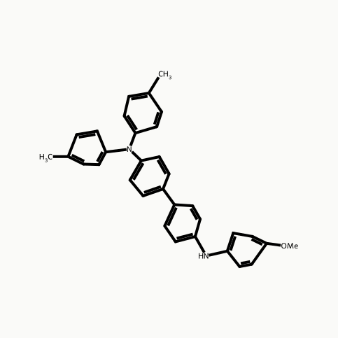 COc1ccc(Nc2ccc(-c3ccc(N(c4ccc(C)cc4)c4ccc(C)cc4)cc3)cc2)cc1